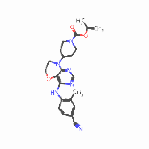 Cc1cc(C#N)ccc1Nc1ncnc2c1OCCN2C1CCN(C(=O)OC(C)C)CC1